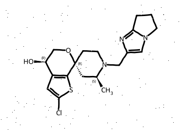 C[C@H]1C[C@@]2(CCN1Cc1cn3c(n1)CCC3)OC[C@H](O)c1cc(Cl)sc12